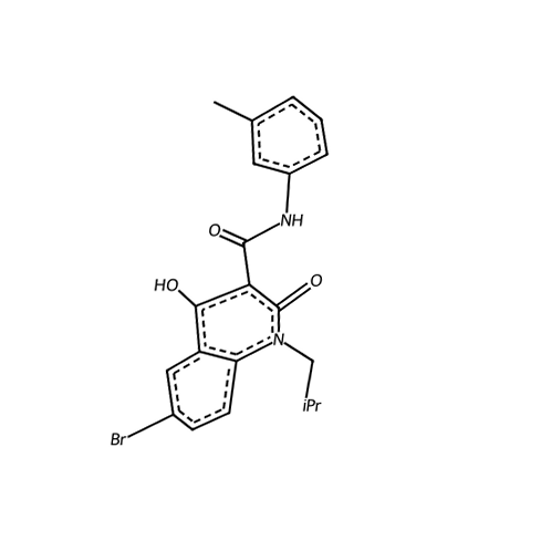 Cc1cccc(NC(=O)c2c(O)c3cc(Br)ccc3n(CC(C)C)c2=O)c1